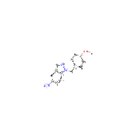 COc1ccc(Cn2ncc3cc(N)ccc32)cc1